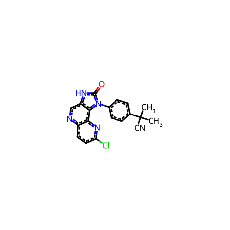 CC(C)(C#N)c1ccc(-n2c(=O)[nH]c3cnc4ccc(Cl)nc4c32)cc1